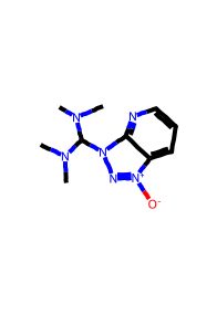 CN(C)C(N(C)C)n1n[n+]([O-])c2cccnc21